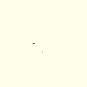 O=C(O)N1CCN(C(=O)O)[C@@H](C(O)c2ccccc2)C1